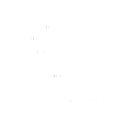 C=C(C)/C=C(\C)CC/C=C(\C)CCC=C(C)C